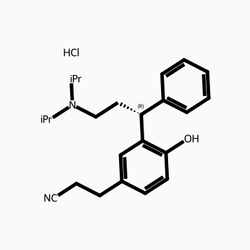 CC(C)N(CC[C@H](c1ccccc1)c1cc(CCC#N)ccc1O)C(C)C.Cl